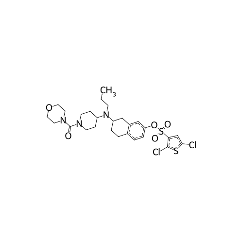 CCCN(C1CCN(C(=O)N2CCOCC2)CC1)C1CCc2ccc(OS(=O)(=O)c3cc(Cl)sc3Cl)cc2C1